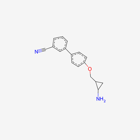 N#Cc1cccc(-c2ccc(OCC3CC3N)cc2)c1